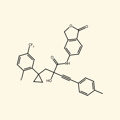 Cc1ccc(C#CC(O)(CC2(c3cc(C(F)(F)F)ccc3F)CC2)C(=O)Nc2ccc3c(c2)COC3=O)cc1